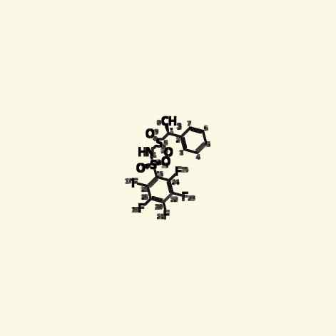 C[C@@H](c1ccccc1)S(=O)(=O)NS(=O)(=O)c1c(F)c(F)c(F)c(F)c1F